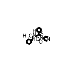 CC(CC1CCCCC1)NCc1c(N(C(=O)O)c2ccncc2)sc2ccccc12